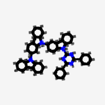 c1ccc(-c2nc(-c3ccccc3)nc(-n3c4ccccc4c4cc(-n5c6ccccc6c6ccc(-n7c8ccccc8c8ccccc87)cc65)ccc43)n2)cc1